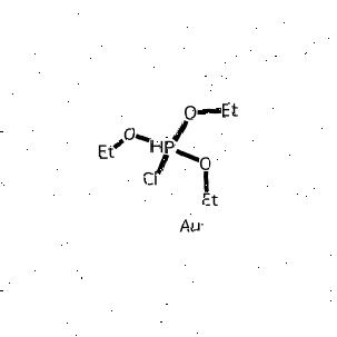 CCO[PH](Cl)(OCC)OCC.[Au]